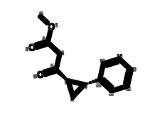 COC(=O)CC(=O)[C@@H]1C[C@H]1c1ccccc1